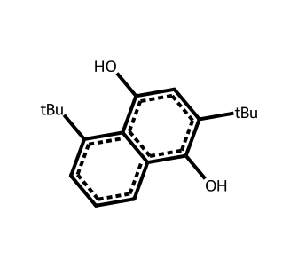 CC(C)(C)c1cc(O)c2c(C(C)(C)C)cccc2c1O